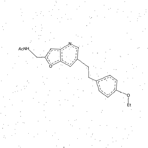 CCOc1ccc(CCc2cnc3cc(CNC(C)=O)oc3c2)cc1